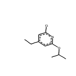 CCc1cc(Cl)nc(OC(C)C)c1